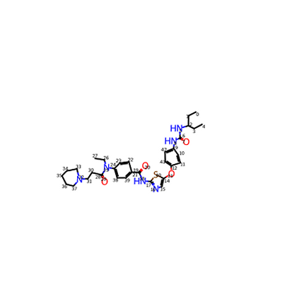 CCC(CC)NC(=O)Nc1ccc(Oc2cnc(NC(=O)c3ccc(N(CC)C(=O)CCN4CCCCC4)cc3)s2)cc1